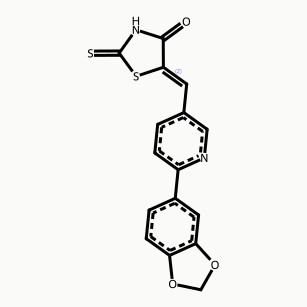 O=C1NC(=S)S/C1=C\c1ccc(-c2ccc3c(c2)OCO3)nc1